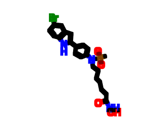 CS(=O)(=O)N(CCCCCCC(=O)NO)c1ccc(-c2cc3cc(Br)ccc3[nH]2)cc1